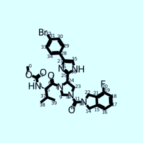 COC(=O)N[C@H](C(=O)N1CN(C(=O)N2Cc3cccc(F)c3C2)CC1c1nc(-c2ccc(Br)cc2)c[nH]1)C(C)C